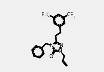 C=CCn1nc(CCc2cc(C(F)(F)F)cc(C(F)(F)F)c2)n(Cc2ccccc2)c1=O